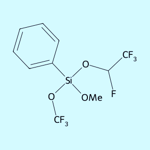 CO[Si](OC(F)C(F)(F)F)(OC(F)(F)F)c1ccccc1